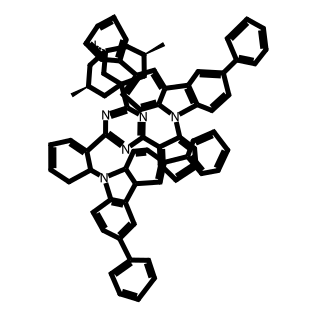 C[C@@H]1C[C@@H]2C[C@H](C)CC(c3nc(C4=CC=CCC4N4c5ccc(-c6ccccc6)cc5C5C=C(c6ccccc6)C=CC54)nc(-c4ccccc4-n4c5ccc(-c6ccccc6)cc5c5cc(-c6ccccc6)ccc54)n3)(C1)C2